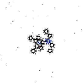 c1ccc(-c2cccc(-c3nc(-c4cccc(-c5ccccc5)c4)nc(-c4cc(-c5ccccc5)c(-n5c6ccc(-c7ccccc7)cc6c6cc(-c7ccccc7)ccc65)c(-c5ccccc5)c4)n3)c2)cc1